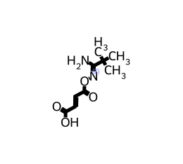 CC(C)(C)/C(N)=N/OC(=O)C=CC(=O)O